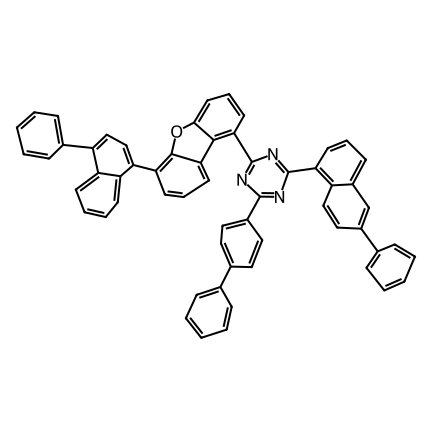 c1ccc(-c2ccc(-c3nc(-c4cccc5cc(-c6ccccc6)ccc45)nc(-c4cccc5oc6c(-c7ccc(-c8ccccc8)c8ccccc78)cccc6c45)n3)cc2)cc1